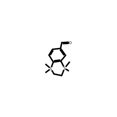 CS1(C)CCS(C)(C)c2cc(C=O)ccc21